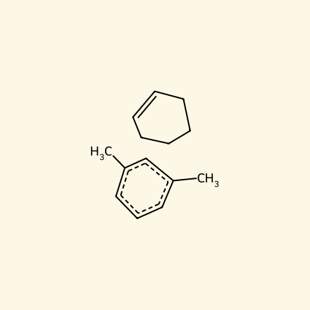 C1=CCCCC1.Cc1cccc(C)c1